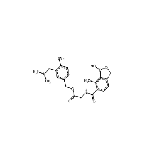 CSc1ccc(COC(=O)CNC(=O)c2ccc3c(c2C)B(O)OC3)cc1CN(C)C